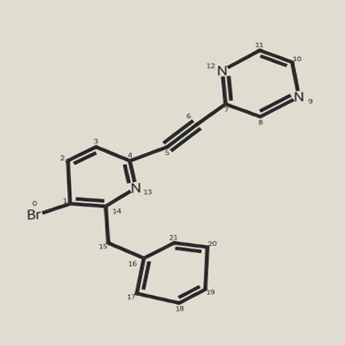 Brc1ccc(C#Cc2cnccn2)nc1Cc1ccccc1